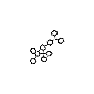 c1ccc(-c2cc3c(c4ccccc24)-c2ccc(-c4ccc(N(c5ccccc5)c5ccccc5)cc4)cc2C3(c2ccccc2)c2ccccc2)cc1